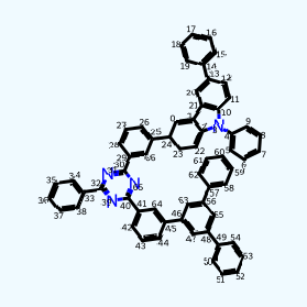 C1=c2c(n(-c3ccccc3)c3ccc(-c4ccccc4)cc23)=CCC1c1cccc(-c2nc(-c3ccccc3)nc(-c3cccc(-c4cc(-c5ccccc5)cc(-c5ccccc5)c4)c3)n2)c1